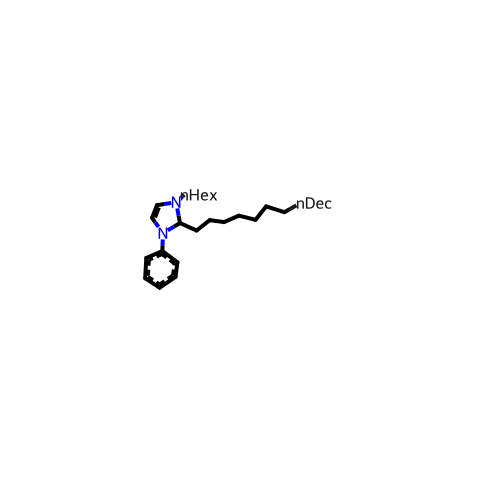 CCCCCCCCCCCCCCCCCC1N(CCCCCC)C=CN1c1ccccc1